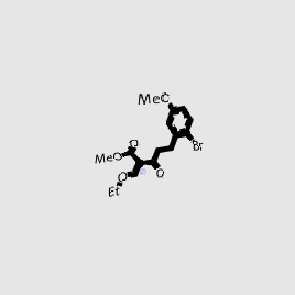 CCO/C=C(/C(=O)CCc1cc(OC)ccc1Br)C(=O)OC